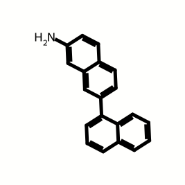 Nc1ccc2ccc(-c3cccc4ccccc34)cc2c1